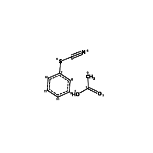 CC(=O)O.N#CSc1ccccc1